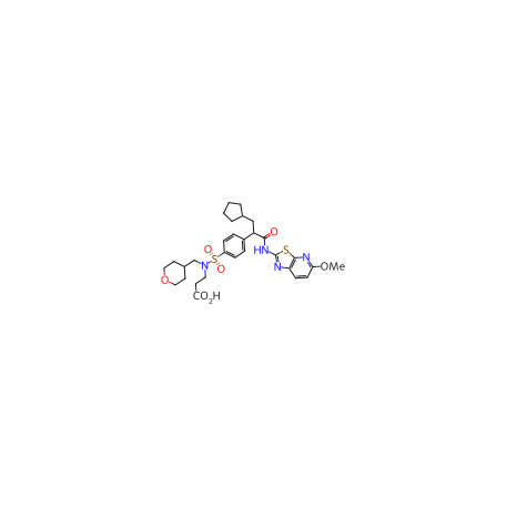 COc1ccc2nc(NC(=O)C(CC3CCCC3)c3ccc(S(=O)(=O)N(CCC(=O)O)CC4CCOCC4)cc3)sc2n1